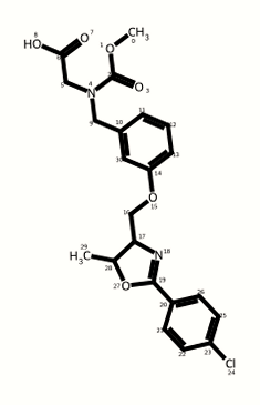 COC(=O)N(CC(=O)O)Cc1cccc(OCC2N=C(c3ccc(Cl)cc3)OC2C)c1